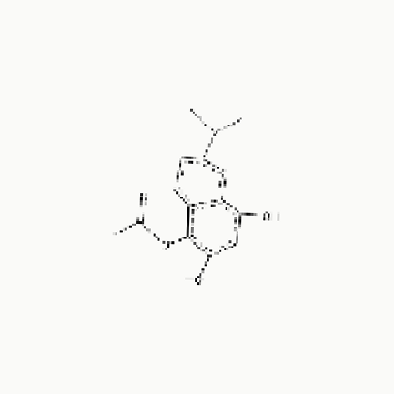 COc1cc(O)c2cc(C(C)C)ccc2c1OC(C)=O